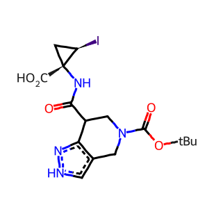 CC(C)(C)OC(=O)N1Cc2c[nH]nc2C(C(=O)N[C@]2(C(=O)O)C[C@H]2I)C1